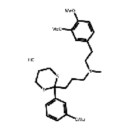 COc1cccc(C2(CCCN(C)CCc3ccc(OC)c(OC)c3)SCCCS2)c1.Cl